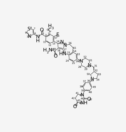 Cc1c(C(=O)Nc2cscn2)ccc(-c2nn3c(c2C(N)=O)Nc2ccc(N4CCN(C[C@H]5CCN(c6ccc(N7CCC(=O)NC7=O)cc6)C5)CC4)cc2CC3)c1F